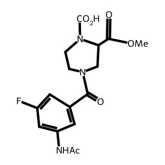 COC(=O)C1CN(C(=O)c2cc(F)cc(NC(C)=O)c2)CCN1C(=O)O